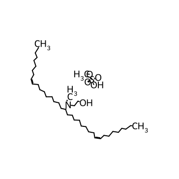 CCCCCCCC/C=C\CCCCCCCCC(CCCCCCCC/C=C\CCCCCCCC)N(CC)CCO.COS(=O)(=O)O